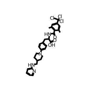 Cc1cc(C(Cl)(Cl)Cl)cc(C)c1C(=O)NC(Cc1ccc(N2CCC(CNc3ccccn3)CC2)cc1)C(=O)O